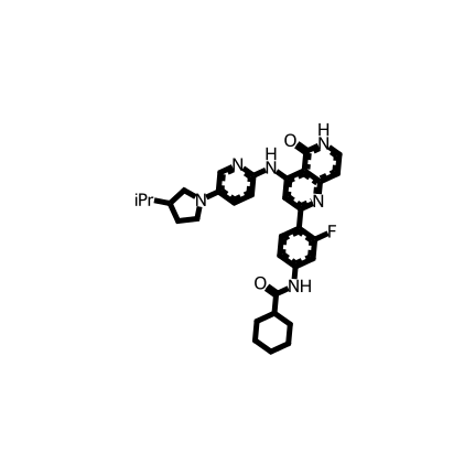 CC(C)C1CCN(c2ccc(Nc3cc(-c4ccc(NC(=O)C5CCCCC5)cc4F)nc4cc[nH]c(=O)c34)nc2)C1